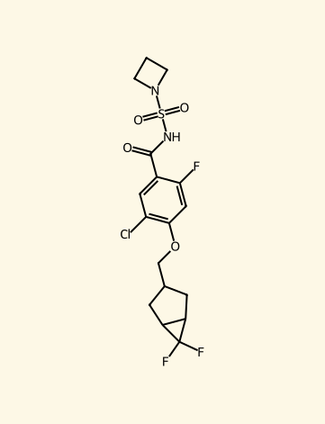 O=C(NS(=O)(=O)N1CCC1)c1cc(Cl)c(OCC2CC3C(C2)C3(F)F)cc1F